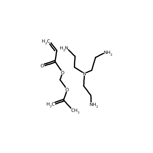 C=CC(=O)OCOC(=C)C.NCCN(CCN)CCN